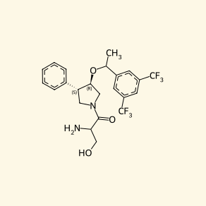 CC(O[C@H]1CN(C(=O)C(N)CO)C[C@@H]1c1ccccc1)c1cc(C(F)(F)F)cc(C(F)(F)F)c1